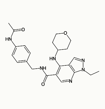 CCn1ncc2c(NC3CCOCC3)c(C(=O)NCc3ccc(NC(C)=O)cc3)cnc21